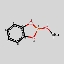 CCCCOP1Oc2ccccc2O1